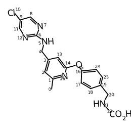 Cc1cc(CNc2ncc(Cl)cn2)cc(Oc2ccc(CNC(=O)O)cc2)n1